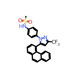 CS(=O)(=O)Nc1ccc(-n2nc(C(F)(F)F)cc2-c2cccc3ccc4ccccc4c23)cc1